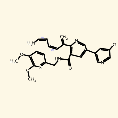 C=C(/C=C\C=C/N)c1ncc(-c2cncc(Cl)c2)cc1C(=O)NCc1ccc(OC)c(OC)n1